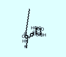 CCCCCCCCCCCCCCCCCCOc1cn(Cc2ccc(Cl)cc2)c(CNCCCN(C)C)cc1=O.O=C(O)C=CC(=O)O.O=C(O)C=CC(=O)O